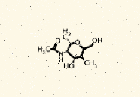 CC(=O)N[C@@H]1[C@H](C)OC(CO)C(C)[C@H]1O